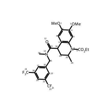 CCOC(=O)N1c2cc(OC)c(OC)cc2C(C(=O)N(C)Cc2cc(C(F)(F)F)cc(C(F)(F)F)c2)CC1C